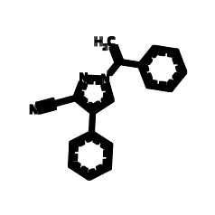 C=C(c1ccccc1)n1cc(-c2ccccc2)c(C#N)n1